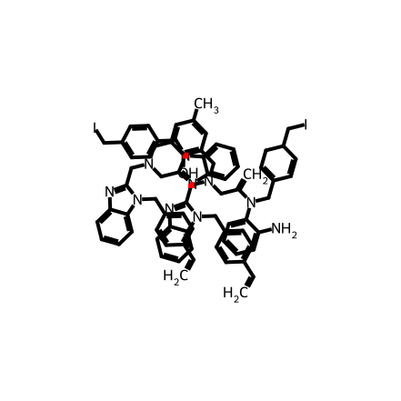 C=Cc1ccc(Cn2c(CN(CC(=C)N(CC3=CCC(CI)C=C3)c3ccccc3N)Cc3cc(C)cc(CN(Cc4nc5ccccc5n4Cc4ccc(C=C)cc4)Cc4nc5ccccc5n4Cc4ccc(CI)cc4)c3O)nc3ccccc32)cc1